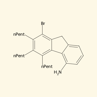 CCCCCc1c(Br)c2c(c(CCCCC)c1CCCCC)-c1c(N)cccc1C2